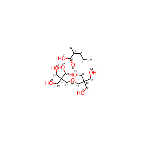 CCCC(C)C(=O)O.OCC(CO)(CO)COCC(CO)(CO)CO